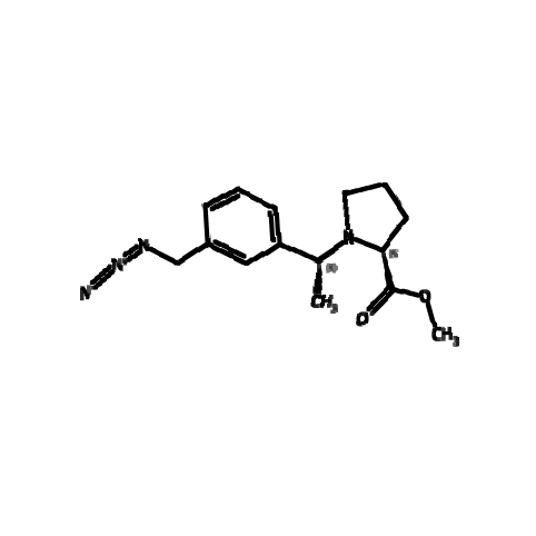 COC(=O)[C@@H]1CCCN1[C@@H](C)c1cccc(CN=[N+]=[N-])c1